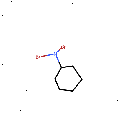 BrN(Br)C1CCCCC1